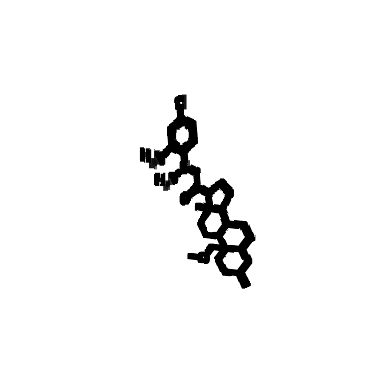 C=C1CCC2(COC)C(CCC3C4CCC(C(=O)CN(N)c5ccc(Cl)cc5N)C4(C)CCC32)C1